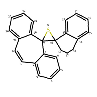 C1=Cc2ccccc2C2(SC23CCCc2ccccc23)c2ccccc21